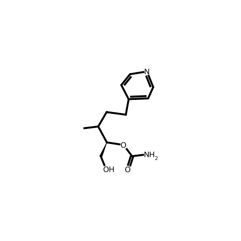 CC(CCc1ccncc1)[C@H](CO)OC(N)=O